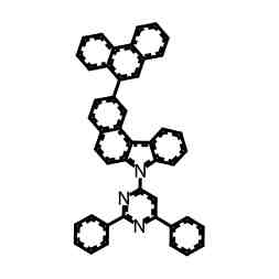 c1ccc(-c2cc(-n3c4ccccc4c4c5cc(-c6cc7ccccc7c7ccccc67)ccc5ccc43)nc(-c3ccccc3)n2)cc1